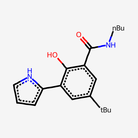 CCCCNC(=O)c1cc(C(C)(C)C)cc(-c2ccc[nH]2)c1O